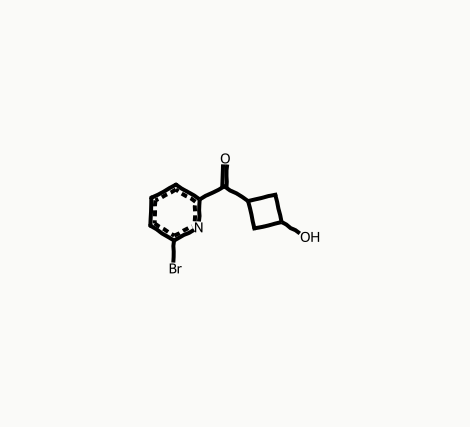 O=C(c1cccc(Br)n1)C1CC(O)C1